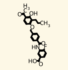 CCCc1c(OCc2ccc(C(=O)Nc3cc(C(=O)O)ccc3F)cc2)ccc(C(C)=O)c1O